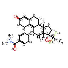 CCN(CC)C(=O)c1ccc([C@H]2CC3(C)[C@@H](CC[C@@]3(O)C(F)(F)C(F)(F)F)C3CCC4=CC(=O)CCC4=C32)cc1